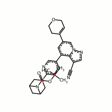 CC(C)(C)OC(=O)N1C2CC1CN(c1ccc(-c3cc(C4=CCOCC4)cn4ncc(C#N)c34)cn1)C2